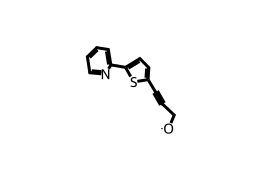 [O]CC#Cc1ccc(-c2ccccn2)s1